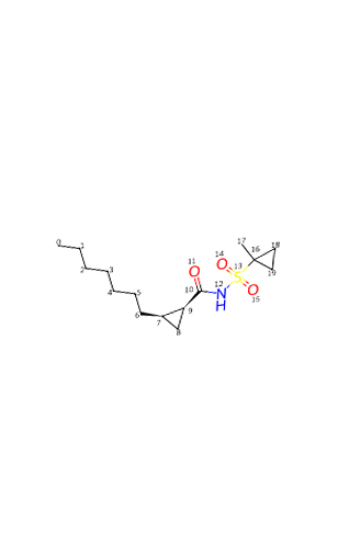 CCCCCCC[C@@H]1C[C@@H]1C(=O)NS(=O)(=O)C1(C)CC1